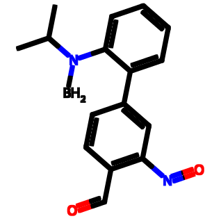 BN(c1ccccc1-c1ccc(C=O)c(N=O)c1)C(C)C